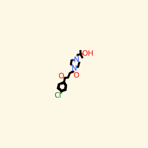 CC(C)(O)CN1CCN(C(=O)CCC(=O)c2ccc(Cl)cc2)CC1